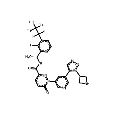 [2H]C([2H])(O)C(F)(F)c1cccc([C@@H](C)NC(=O)c2ccc(=O)n(-c3cncc(-c4cnnn4C4CNC4)c3)n2)c1F